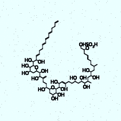 C=CCC/C=C/C=C/C=C/CC/C=C/C(O)C(O)C1OC(C(O)C(O)C(=C)CCC(O)C2CC(O)C(O)C(C(O)C(O)/C=C(\C)CCC(O)CC(O)C(O)C(C)CC(O)C(O)CC(C)CC/C=C/CC(CO)OS(=O)(=O)O)O2)CC(O)C1O